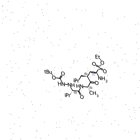 CCOS(=O)(=O)/C(N)=C/[C@H](CC(C)C)C(=O)[C@H](C)NC(=O)[C@@H](NNC(=O)OC(C)(C)C)C(C)C